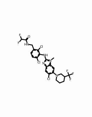 Cn1c(Nc2c(Cl)ccc(CNC(=O)C(F)F)c2Cl)nc2cc(Cl)c(N3CCCC(C(F)(F)F)C3)cc21